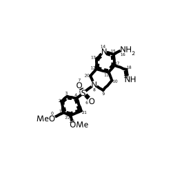 COc1ccc(S(=O)(=O)N2CCc3c(cnc(N)c3C=N)C2)cc1OC